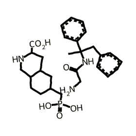 CC(Cc1ccccc1)(NC(=O)CN)c1ccccc1.O=C(O)C1CC2CC(CP(=O)(O)O)CCC2CN1